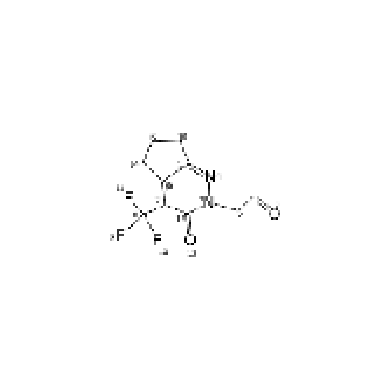 O=CCn1nc2c(c(C(F)(F)F)c1=O)CCC2